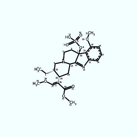 CC[C@@H]1CN2CC[C@@]3(OS(=O)(=O)O)C(=Nc4cccc(OC)c43)C2C[C@@H]1/C(=C\OC)C(=O)OC